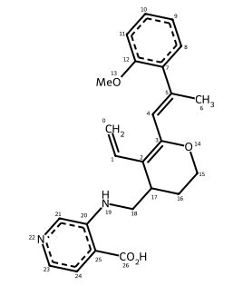 C=CC1=C(/C=C(\C)c2ccccc2OC)OCCC1CNc1cnccc1C(=O)O